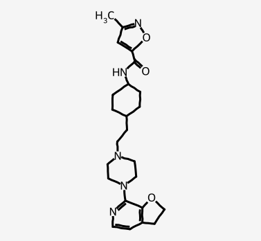 Cc1cc(C(=O)NC2CCC(CCN3CCN(c4nccc5c4OCC5)CC3)CC2)on1